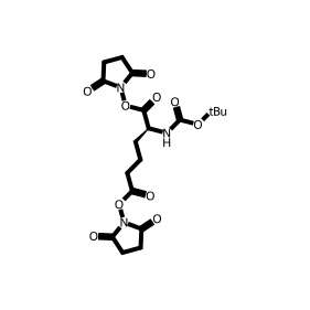 CC(C)(C)OC(=O)N[C@@H](CCCC(=O)ON1C(=O)CCC1=O)C(=O)ON1C(=O)CCC1=O